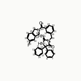 N=C1NC(c2ccccc2)(c2ccccc2)C(=O)N1Cc1cccc(C(=O)N2Cc3ccc(F)cc3C2)c1